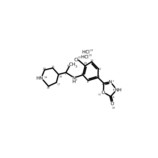 CC(Nc1cc(-c2n[nH]c(=O)o2)ccc1Cl)C1CCNCC1.Cl.Cl